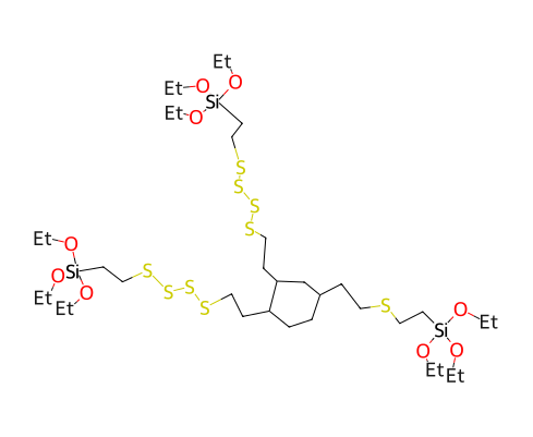 CCO[Si](CCSCCC1CCC(CCSSSSCC[Si](OCC)(OCC)OCC)C(CCSSSSCC[Si](OCC)(OCC)OCC)C1)(OCC)OCC